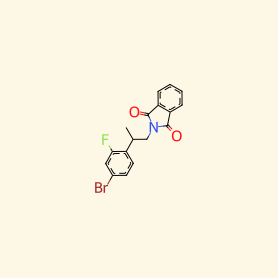 CC(CN1C(=O)c2ccccc2C1=O)c1ccc(Br)cc1F